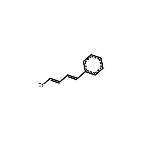 CC/C=C/C=C/c1ccccc1